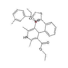 CCOC(=O)C1=C(C)NC(C)=C(C(=O)OCC)C1c1ccccc1-c1nc(-c2cccc(C)c2)cs1